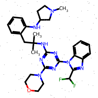 CN1CCC(Nc2ccccc2CC(C)(C)Nc2nc(N3CCOCC3)nc(-n3c(C(F)F)nc4ccccc43)n2)C1